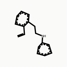 C=Cc1ccccc1CCNc1ccccc1